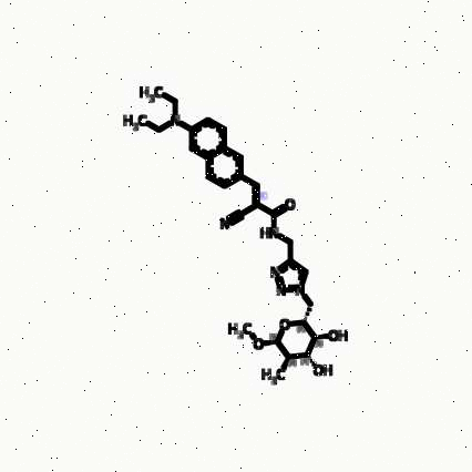 CCN(CC)c1ccc2cc(/C=C(\C#N)C(=O)NCc3cn(C[C@H]4O[C@H](OC)[C@H](C)[C@@H](O)[C@@H]4O)nn3)ccc2c1